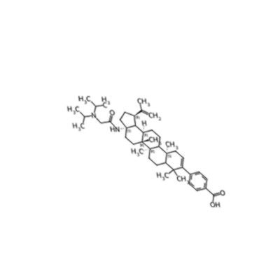 C=C(C)[C@@H]1CC[C@]2(NC(=O)CN(C(C)C)C(C)C)CC[C@]3(C)[C@H](CCC4[C@@]5(C)CC=C(c6ccc(C(=O)O)cc6)C(C)(C)C5CC[C@]43C)C12